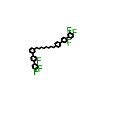 Fc1ccc(-c2ccc(-c3ccc(CCCCCCCCc4cccc(-c5ccc(-c6ccc(F)c(F)c6)c(F)c5)c4)cc3)cc2F)cc1F